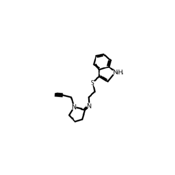 C#CCN1CCCC1=NCCSc1c[nH]c2ccccc12